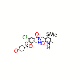 CSc1cc(C)[nH]c(=O)c1CNC(=O)c1cc(Cl)c2c(c1C)OC(C)(C1CCC(=O)CC1)O2